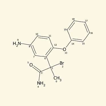 CC(Br)(C(N)=O)c1cc(N)ccc1Oc1ccccc1